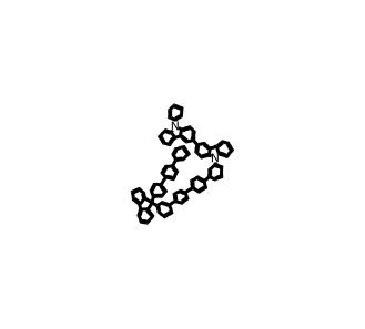 c1ccc(-c2ccc(-c3ccc(C4(c5cccc(-c6ccc(-c7ccc(-c8cccc(-n9c%10ccccc%10c%10cc(-c%11ccc%12c(c%11)c%11ccccc%11n%12-c%11ccccc%11)ccc%109)c8)cc7)cc6)c5)c5ccccc5-c5ccccc54)cc3)cc2)cc1